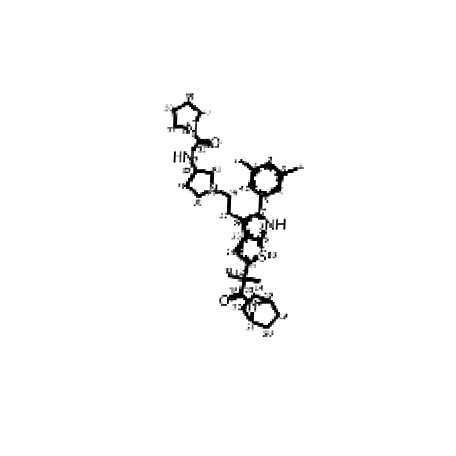 Cc1cc(C)cc(-c2[nH]c3sc(C(C)(C)C(=O)N4C5CCC4CC5)cc3c2CCN2CCC(NC(=O)N3CCCC3)C2)c1